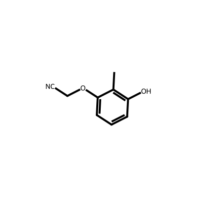 Cc1c(O)cccc1OCC#N